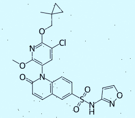 COc1nc(OCC2(C)CC2)c(Cl)cc1-n1c(=O)ccc2cc(S(=O)(=O)Nc3ccon3)ccc21